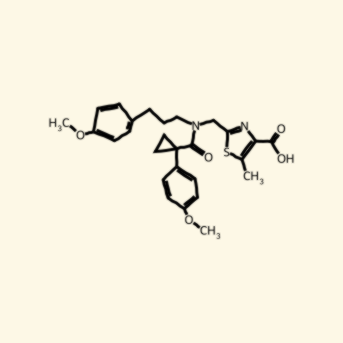 COc1ccc(CCCN(Cc2nc(C(=O)O)c(C)s2)C(=O)C2(c3ccc(OC)cc3)CC2)cc1